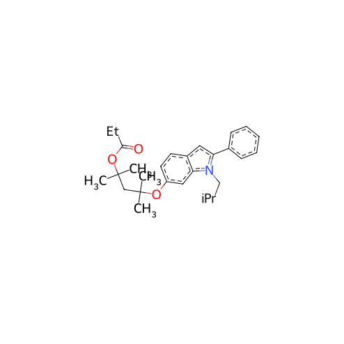 CCC(=O)OC(C)(C)CC(C)(C)Oc1ccc2cc(-c3ccccc3)n(CC(C)C)c2c1